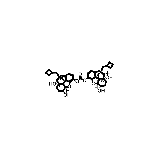 O=C(Oc1ccc2c3c1O[C@H]1[C@@H](O)CC[C@@]4(O)C(C2)N(CC2CCC2)CC[C@]314)Oc1ccc2c3c1O[C@H]1[C@@H](O)CC[C@@]4(O)[C@@H](C2)N(CC2CCC2)CC[C@]314